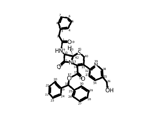 O=C(Cc1ccccc1)N[C@@H]1C(=O)N2C(C(=O)OC(c3ccccc3)c3ccccc3)=C(c3ccc(CO)cn3)CS[C@H]12